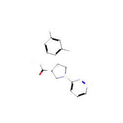 COC(=O)[C@@H]1CN(c2cccnn2)C[C@H]1c1ccc(OC)cc1F